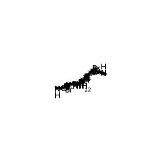 CNCCCOc1ccc(CCCN(N)/C=C(\N)c2ccc(-c3cn(CCCc4ccc(OCCCNC)c(Br)c4)nn3)cc2)cc1Br